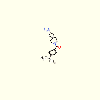 CC(C)c1ccc(C(=O)N2CCC3(CC2)CC(N)C3)cc1